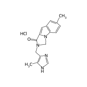 Cc1ccc2c(c1)cc1n2CN(Cc2nc[nH]c2C)C1=O.Cl